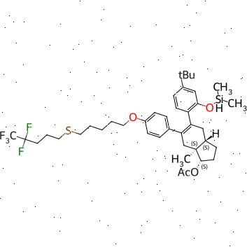 CC(=O)O[C@H]1CC[C@H]2CC(c3ccc(C(C)(C)C)cc3O[SiH](C)C)=C(c3ccc(OCCCCCSCCCC(F)(F)C(F)(F)F)cc3)C[C@@]21C